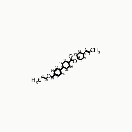 CC=C[C@H]1CC[C@H](OC(=O)C2CCC(c3ccc(COCCC)cc3)CC2)CC1